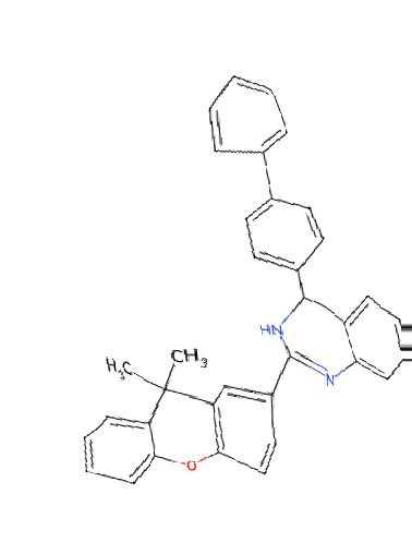 CC1(C)c2ccccc2Oc2ccc(C3=Nc4ccccc4C(c4ccc(-c5ccccc5)cc4)N3)cc21